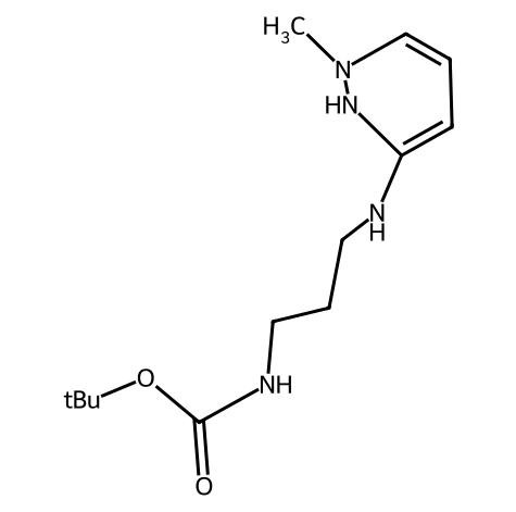 CN1C=CC=C(NCCCNC(=O)OC(C)(C)C)N1